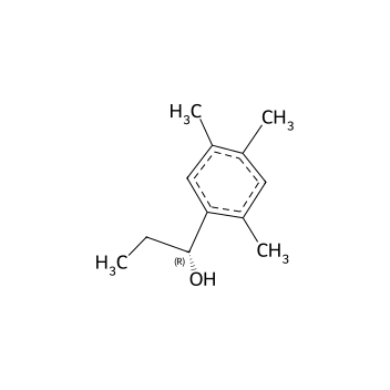 CC[C@@H](O)c1cc(C)c(C)cc1C